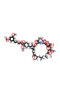 CCC1/C=C(\C)CC(C)CC(OC)C2OC(O)(C(=O)C(=O)N3CCCCC3C(=O)OC(C(C)=CC3CCC(O)(CC=CC=Cc4cc(OC)cc(OC)c4)C(OC)C3)C(C)CCC1=O)C(C)CC2OC